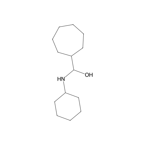 OC(NC1CCCCC1)C1CCCCCC1